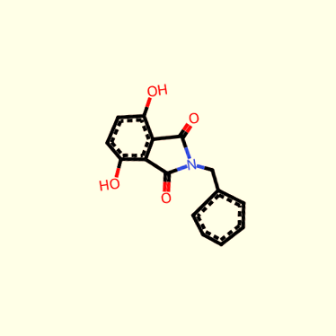 O=C1c2c(O)ccc(O)c2C(=O)N1Cc1ccccc1